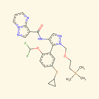 CS(C)(C)CCOCn1ncc(NC(=O)c2cnn3cccnc23)c1-c1cc(SC2CC2)ccc1OC(F)F